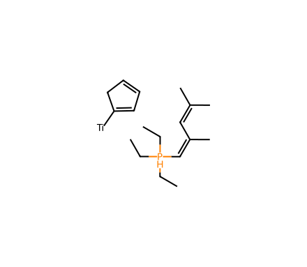 CC[PH](C=C(C)C=C(C)C)(CC)CC.[Ti][C]1=CC=CC1